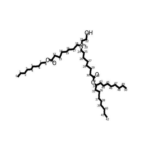 CCCCCCCCCOC(=O)CCCCCCC[N+](C)(CCO)CCCCCCCC(=O)OC(CCCCCCCC)CCCCCCCC